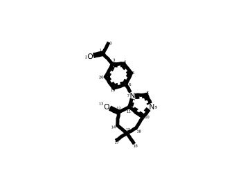 CC(=O)c1ccc(-n2cnc3c2C(=O)CC(C)(C)C3)cc1